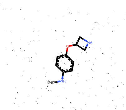 O=CNc1ccc(OC2CNC2)cc1